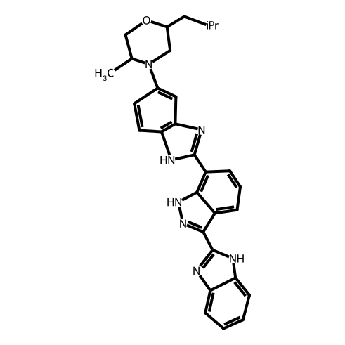 CC(C)CC1CN(c2ccc3[nH]c(-c4cccc5c(-c6nc7ccccc7[nH]6)n[nH]c45)nc3c2)C(C)CO1